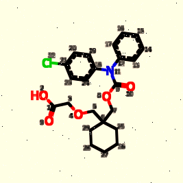 O=C(O)COCC1(COC(=O)N(c2ccccc2)c2ccc(Cl)cc2)CCCCC1